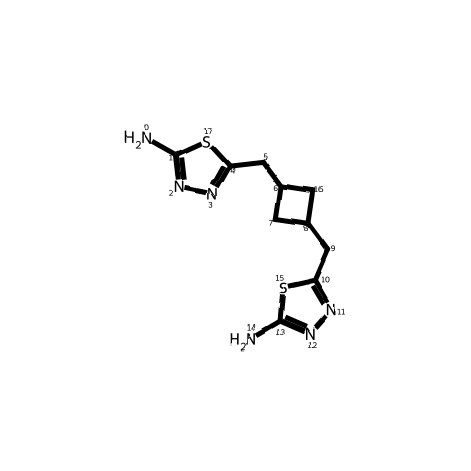 Nc1nnc(CC2CC(Cc3nnc(N)s3)C2)s1